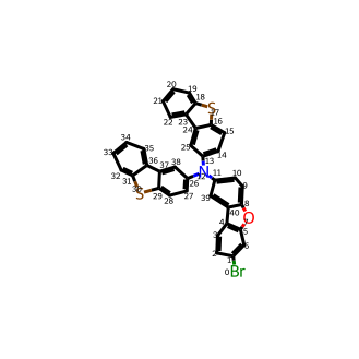 Brc1ccc2c(c1)oc1ccc(N(c3ccc4sc5ccccc5c4c3)c3ccc4sc5ccccc5c4c3)cc12